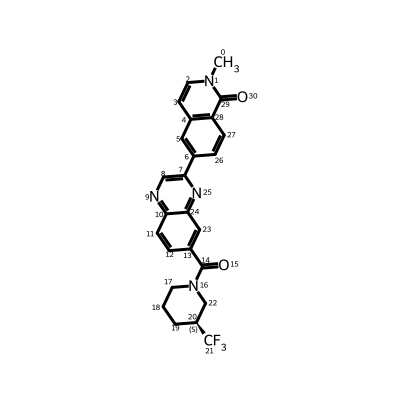 Cn1ccc2cc(-c3cnc4ccc(C(=O)N5CCC[C@H](C(F)(F)F)C5)cc4n3)ccc2c1=O